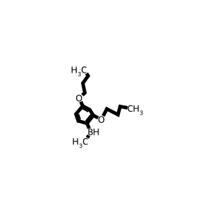 CBc1ccc(OCCCC)cc1OCCCC